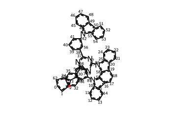 c1ccc(-c2cccc(-n3c4ccccc4c4ccc5c6ccccc6n(-c6nc(-c7ccccc7)nc(-c7cccc(-n8c9ccccc9c9ccccc98)c7)n6)c5c43)c2)cc1